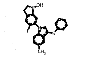 Cc1ccc2c(c1)c(Sc1ccccc1)cn2-c1cc2c(cc1F)CCB2O